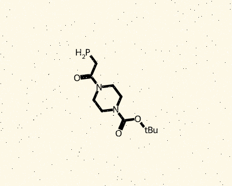 CC(C)(C)OC(=O)N1CCN(C(=O)CP)CC1